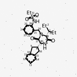 CCC(CC)[C@@H]1C(=O)N[C@H](C2Cc3ccccc3C2)C(=O)N1Cc1ccccc1NS(=O)(=O)CC